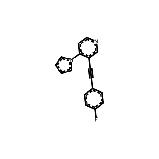 Fc1ccc(C#Cc2cnccc2-n2cccc2)cc1